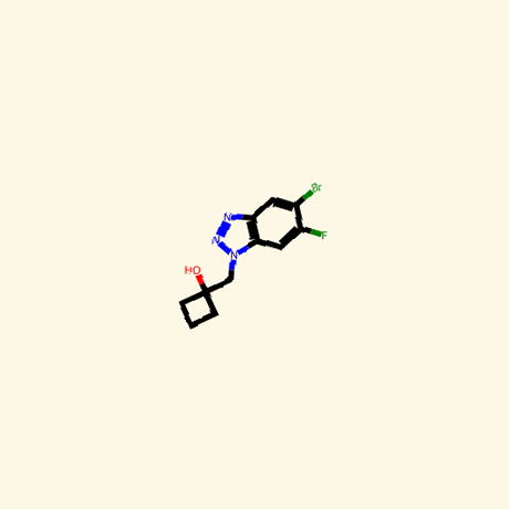 OC1(Cn2nnc3cc(Br)c(F)cc32)CCC1